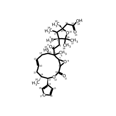 B[C@@]1(CC(=O)C2(C)C3OC3C(=O)O[C@@H](c3ccoc3)[C@H](C)C/C=C/C[C@@H]2S)C(C)[C@](C)(CC(=O)O)OC1(C)C